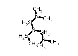 C[SiH2]N([SiH2]N(C)C)[SiH2]N(C)C